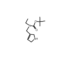 CCN(CC1=CCNC1)C(=O)OC(C)(C)C